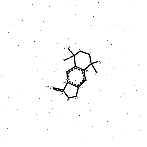 CC1(C)CCC(C)(C)c2cc3c(cc21)CCC3=O